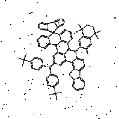 Cc1cc2c(cc1N1B3c4cccc5c4N(c4ccccc4C54c5ccccc5-c5ccccc54)c4cc(N(c5ccc(C(C)(C)C)cc5)c5ccc(C(C)(C)C)cc5)cc(c43)-c3c1ccc1c3sc3ccccc31)C(C)(C)CCC2(C)C